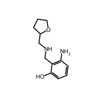 Nc1cccc(O)c1CNCC1CCCO1